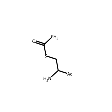 CC(=O)C(N)CSC(=O)P